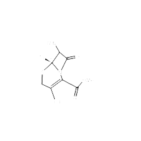 COC(=O)C1=C(C)CS[C@@H]2C(N)C(=O)N12